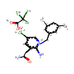 N=c1c(C(N)=O)cc(Cl)cn1Cc1cc(C(F)(F)F)cc(C(F)(F)F)c1.O=C(O)C(F)(F)F